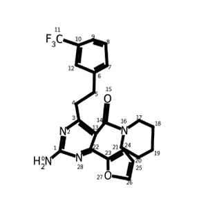 Nc1nc(CCc2cccc(C(F)(F)F)c2)c(C(=O)N2CCCCC2)c(-c2ccco2)n1